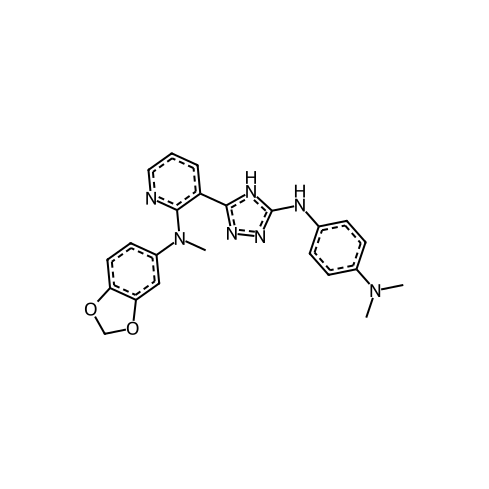 CN(C)c1ccc(Nc2nnc(-c3cccnc3N(C)c3ccc4c(c3)OCO4)[nH]2)cc1